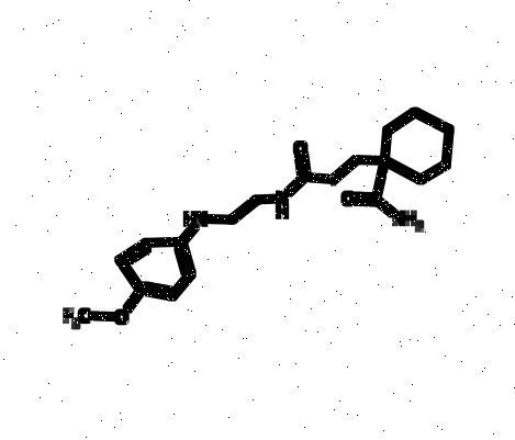 NC(=O)C1(C[CH]C(=O)NCCNc2ccc(OC(F)(F)F)cc2)CCCCC1